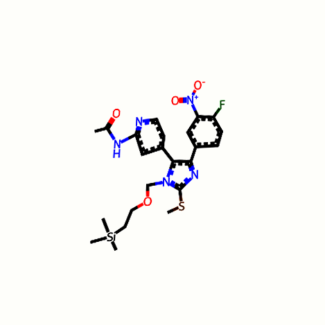 CSc1nc(-c2ccc(F)c([N+](=O)[O-])c2)c(-c2ccnc(NC(C)=O)c2)n1COCC[Si](C)(C)C